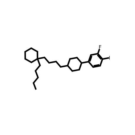 CCCCCC1(CCCCC2CCC(c3ccc(I)c(F)c3)CC2)CCCCC1